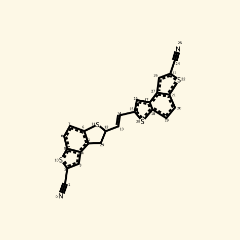 N#Cc1cc2c3c(ccc2s1)SC(/C=C/c1cc2c(ccc4sc(C#N)cc42)s1)C3